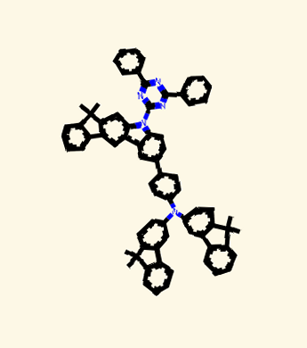 CC1(C)c2ccccc2-c2cc(N(c3ccc(-c4ccc5c(c4)c4cc6c(cc4n5-c4nc(-c5ccccc5)nc(-c5ccccc5)n4)C(C)(C)c4ccccc4-6)cc3)c3ccc4c(c3)-c3ccccc3C4(C)C)ccc21